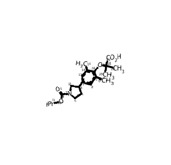 Cc1cc(C2CCN(C(=O)OC(C)C)C2)cc(C)c1OC(C)(C)C(=O)O